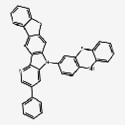 c1ccc(-c2cnc3c4cc5c(cc4n(-c4ccc6c(c4)Sc4ccccc4N6)c3c2)sc2ccccc25)cc1